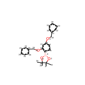 CC1(C)OB(c2ccc(OCc3ccccc3)cc2OCc2ccccc2)OC1(C)C